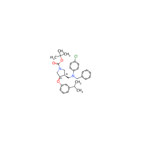 CC(C)c1cccc(O[C@H]2CN(C(=O)OC(C)(C)C)C[C@H]2CN(Cc2ccccc2)c2ccc(Cl)cc2)c1